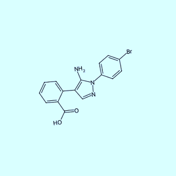 Nc1c(-c2ccccc2C(=O)O)cnn1-c1ccc(Br)cc1